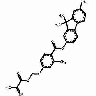 C=C(C)C(=O)OCOc1ccc(C(=O)Oc2ccc3c(c2)C(C)(C)c2cc(C)ccc2-3)c(C)c1